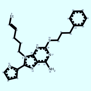 CCC=CCCCn1c(-c2ccco2)nc2c(N)nc(SCCCc3ccccc3)nc21